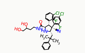 CC(C)(C[C@@H]1N[C@@H](C(=O)NCC[C@H](O)CO)[C@H](c2cccc(Cl)c2F)[C@@]1(C#N)c1ccc(Cl)cc1F)c1ccccc1